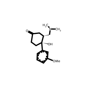 COc1cccc([C@@]2(O)CCC(=O)C[C@@H]2CN(C)C)c1